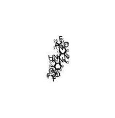 Cc1nc(N[C@H](C)c2cccc(S(=O)(=O)C(F)F)c2C)c2cn(C3(CF)CC3)c(=O)cc2n1